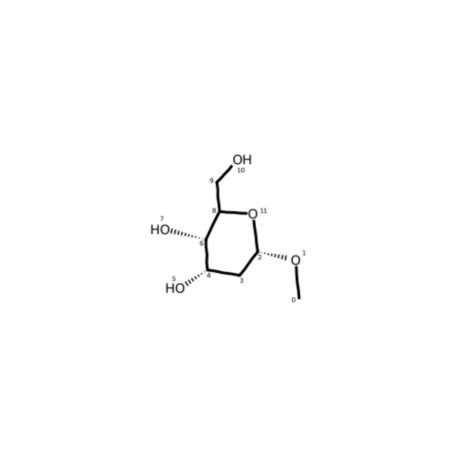 CO[C@@H]1C[C@H](O)[C@H](O)C(CO)O1